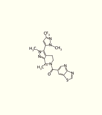 C[C@H]1c2nn(C)c(-c3cc(C(F)(F)F)nn3C)c2CCN1C(=O)c1cnc2ncsc2c1